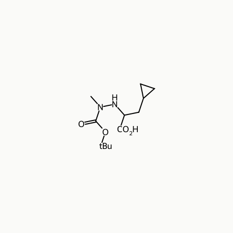 CN(NC(CC1CC1)C(=O)O)C(=O)OC(C)(C)C